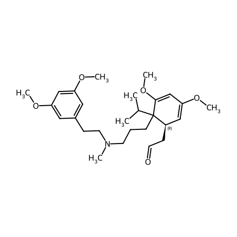 COC1=C[C@@H](CC=O)C(CCCN(C)CCc2cc(OC)cc(OC)c2)(C(C)C)C(OC)=C1